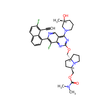 C#Cc1c(F)ccc2cccc(-c3ncc4c(N5CCC[C@@](C)(O)C5)nc(OC[C@]56CCCN5[C@@H](COC(=O)N(C)C)CC6)nc4c3F)c12